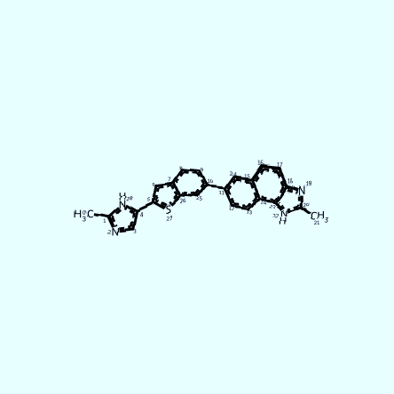 Cc1ncc(-c2cc3ccc(-c4ccc5c(ccc6nc(C)[nH]c65)c4)cc3s2)[nH]1